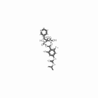 CC(C)OC(=O)Oc1cc(F)c(C2OP(=O)(O)C(O)(Cc3cccnc3)P(=O)(O)O2)c(F)c1